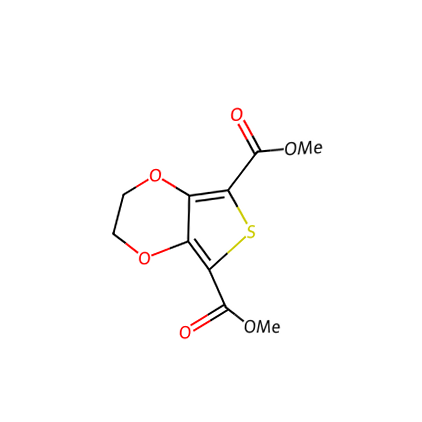 COC(=O)c1sc(C(=O)OC)c2c1OCCO2